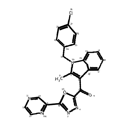 Cc1c(C(=O)c2nnc(-c3cnccn3)o2)c2ccccc2n1Cc1ccc(Cl)cc1